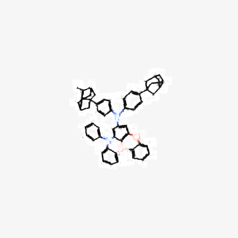 CC12C3CC4(c5ccc(N(c6ccc(C78CC9CC(C7)C(C9)C8)cc6)c6cc7c8c(c6)N(c6ccccc6)c6ccccc6B8c6ccccc6O7)cc5)CC1CC42C3